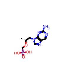 C[C@H](Cn1cnc2cnc(N)nc21)OCP(=O)(O)O